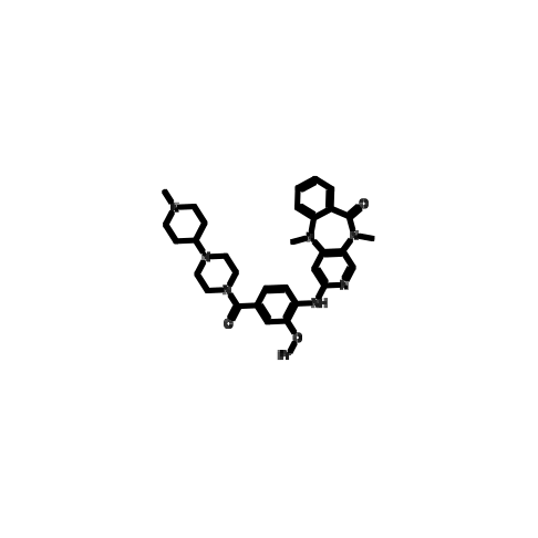 CC(C)Oc1cc(C(=O)N2CCN(C3CCN(C)CC3)CC2)ccc1Nc1cc2c(cn1)N(C)C(=O)c1ccccc1N2C